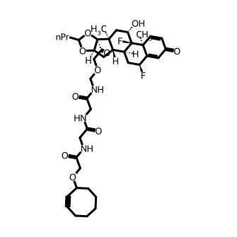 CCCC1O[C@@H]2C[C@H]3[C@@H]4C[C@H](F)C5=CC(=O)C=C[C@]5(C)[C@@]4(F)[C@@H](O)C[C@]3(C)[C@]2(C(=O)COCNC(=O)CNC(=O)CNC(=O)COC2C#CCCCCC2)O1